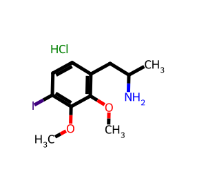 COc1c(I)ccc(CC(C)N)c1OC.Cl